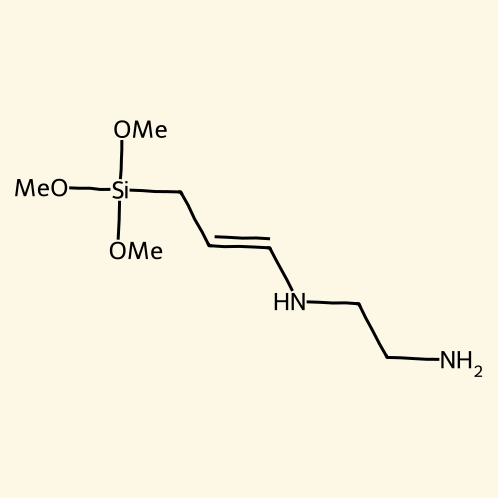 CO[Si](CC=CNCCN)(OC)OC